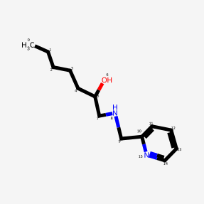 CCCCCC(O)CNCc1ccccn1